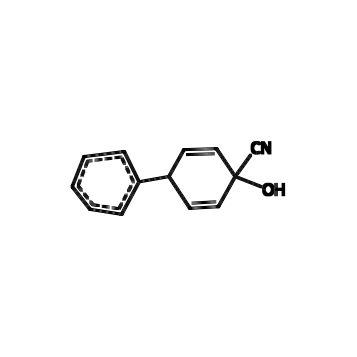 N#CC1(O)C=CC(c2ccccc2)C=C1